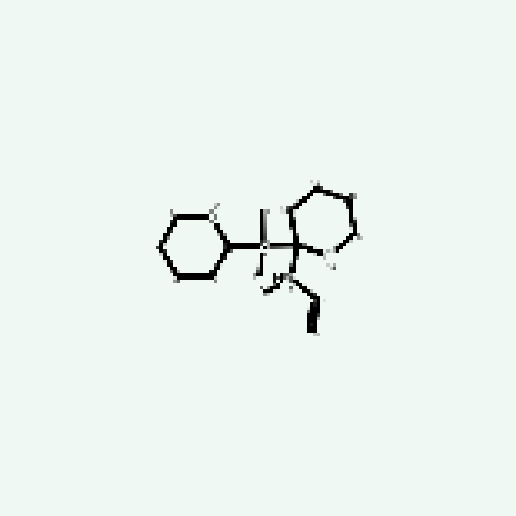 C=C[SiH](C)C1([Si](C)(C)C2CCCCO2)CCCCO1